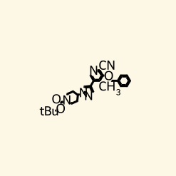 Cc1c(-c2cnn(C3CCN(C(=O)OC(C)(C)C)CC3)c2)cnc(C#N)c1OCc1ccccc1